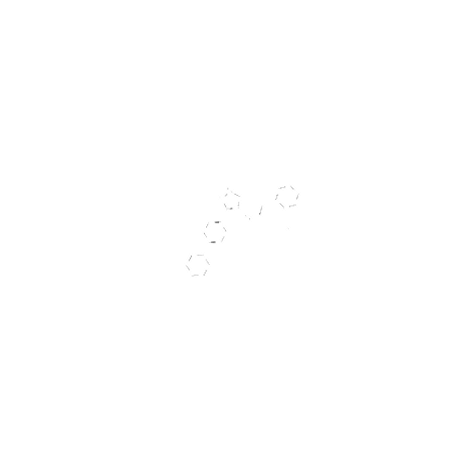 Cc1nsc(-c2ccc(-c3ccc(CC(=O)O)c(F)c3)cc2)c1NC(=O)O[C@H](C)c1ccccc1Cl